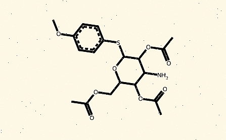 COc1ccc(SC2OC(COC(C)=O)C(OC(C)=O)C(N)C2OC(C)=O)cc1